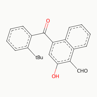 CC(C)(C)c1ccccc1C(=O)c1cc(O)c(C=O)c2ccccc12